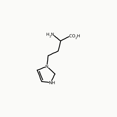 NC(CCN1C=CNC1)C(=O)O